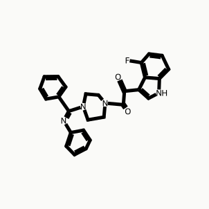 O=C(C(=O)N1CCN(/C(=N\c2ccccc2)c2ccccc2)CC1)c1c[nH]c2cccc(F)c12